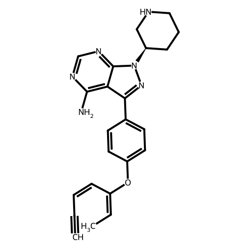 C#C/C=C\C(=C/C)Oc1ccc(-c2nn([C@@H]3CCCNC3)c3ncnc(N)c23)cc1